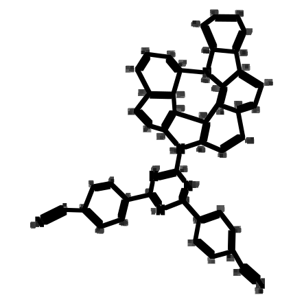 N#Cc1ccc(-c2nc(-c3ccc(C#N)cc3)nc(-n3c4ccc5cccc6c5c4c4c5c(ccc7c8ccccc8n6c75)ccc43)n2)cc1